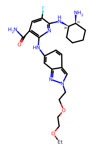 CCOCCOCCn1cc2ccc(Nc3nc(N[C@@H]4CCCC[C@@H]4N)c(F)cc3C(N)=O)cc2n1